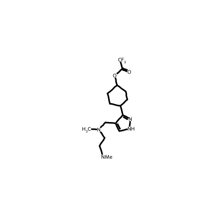 CNCCN(C)Cc1c[nH]nc1C1CCC(OC(=O)C(F)(F)F)CC1